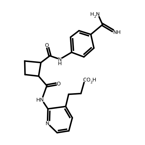 N=C(N)c1ccc(NC(=O)C2CCC2C(=O)Nc2ncccc2CCC(=O)O)cc1